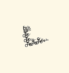 [Ca+2].[Ca+2].[Fe+3].[Fe+3].[O]=[Ti]([O-])[O-].[O]=[Ti]([O-])[O-].[O]=[Ti]([O-])[O-].[O]=[Ti]([O-])[O-].[O]=[Ti]([O-])[O-]